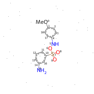 COc1ccc(NOS(=O)(=O)c2cccc(N)c2)cc1